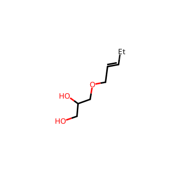 CCC=CCOCC(O)CO